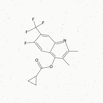 Cc1nc2cc(C(F)(F)F)c(F)cc2c(OC(=O)C2CC2)c1C